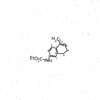 CCOC(=O)Nc1ccc2c(c1)CCN=C2C